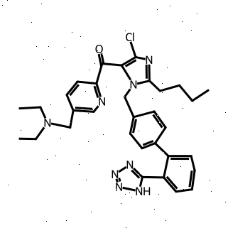 CCCCc1nc(Cl)c(C(=O)c2ccc(CN(CC)CC)cn2)n1Cc1ccc(-c2ccccc2-c2nnn[nH]2)cc1